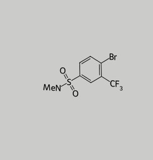 CNS(=O)(=O)c1ccc(Br)c(C(F)(F)F)c1